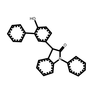 O=C1C(c2ccc(O)c(-c3ccccc3)c2)c2ccccc2N1c1ccccc1